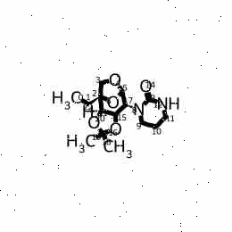 CC[C@@]12COC(O1)[C@H](N1CCCNC1=O)C1OC(C)(C)O[C@H]12